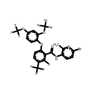 [2H]C([2H])([2H])Oc1cc(OC(F)(F)F)ccc1Oc1ccc(C(F)(F)F)c(F)c1C(=O)Nc1ccc(Br)nc1C